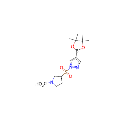 CC1(C)OB(c2cnn(S(=O)(=O)C3CCN(C(=O)O)C3)c2)OC1(C)C